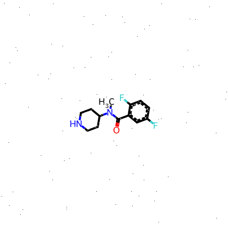 CN(C(=O)c1cc(F)ccc1F)C1CCNCC1